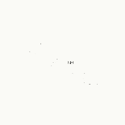 O=C(CC1CCCC1)NCc1ccco1